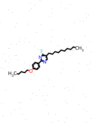 CCCCCCCCCCc1cnc(-c2ccc(OCCCCC)cc2)nc1F